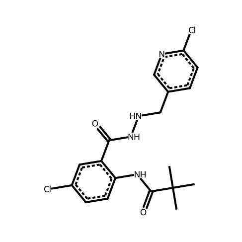 CC(C)(C)C(=O)Nc1ccc(Cl)cc1C(=O)NNCc1ccc(Cl)nc1